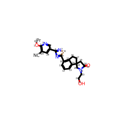 CC(C)Oc1ncc(-c2nsc(-c3cccc4c3CCC43CC(=O)N(CCO)C3)n2)cc1C#N